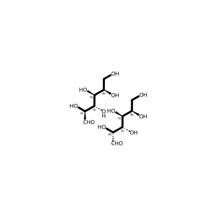 O=C[C@@H](O)[C@@H](O)[C@@H](O)[C@H](O)CO.O=C[C@H](O)[C@@H](O)[C@@H](O)[C@H](O)CO